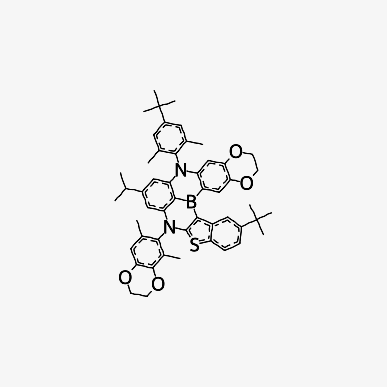 Cc1cc(C(C)(C)C)cc(C)c1N1c2cc3c(cc2B2c4c1cc(C(C)C)cc4N(c1c(C)cc4c(c1C)OCCO4)c1sc4ccc(C(C)(C)C)cc4c12)OCCO3